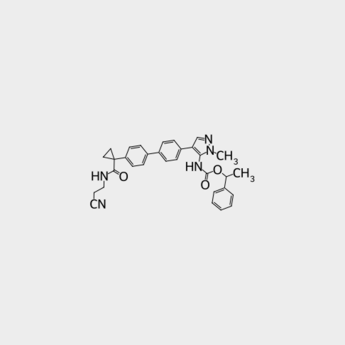 CC(OC(=O)Nc1c(-c2ccc(-c3ccc(C4(C(=O)NCCC#N)CC4)cc3)cc2)cnn1C)c1ccccc1